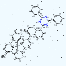 CC(C)(C)c1ccc2c(c1)C1(c3ccccc3-c3ccc(-c4cccc5c(-c6nc(-c7ccccc7)nc(-c7ccccc7)n6)cccc45)cc31)c1cc(C(C)(C)C)ccc1-2